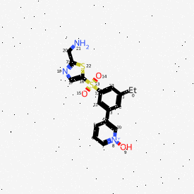 CCc1cc(-c2ccc[n+](O)c2)cc(S(=O)(=O)c2cnc(CN)s2)c1